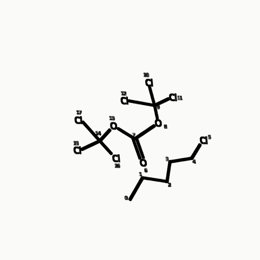 CCCCCCl.O=C(OC(Cl)(Cl)Cl)OC(Cl)(Cl)Cl